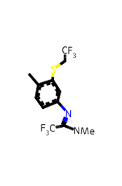 CN/C(=N/c1ccc(C)c(SCC(F)(F)F)c1)C(F)(F)F